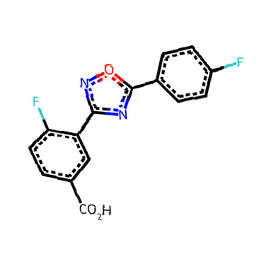 O=C(O)c1ccc(F)c(-c2noc(-c3ccc(F)cc3)n2)c1